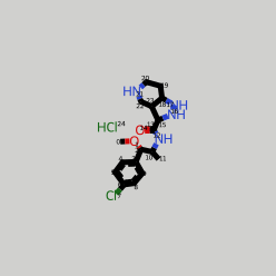 COC(c1ccc(Cl)cc1)C(C)NC(=O)C1NNC2CCNCC21.Cl